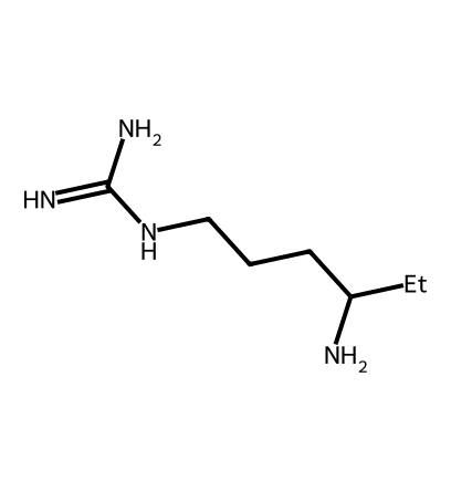 CCC(N)CCCNC(=N)N